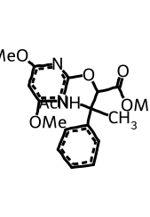 COC(=O)C(Oc1nc(OC)cc(OC)n1)C(C)(NC(C)=O)c1ccccc1